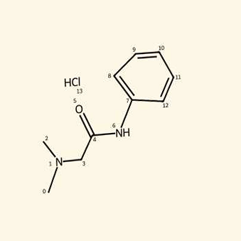 CN(C)CC(=O)Nc1ccccc1.Cl